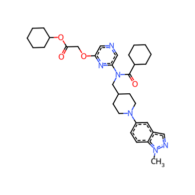 Cn1ncc2cc(N3CCC(CN(C(=O)C4CCCCC4)c4cncc(OCC(=O)OC5CCCCC5)n4)CC3)ccc21